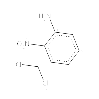 ClCCl.Nc1ccccc1[N+](=O)[O-]